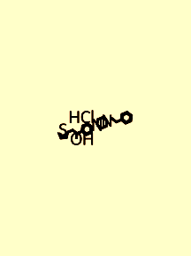 Cl.OC(Cc1cccs1)c1ccc(N2CCN(CCc3ccccc3)CC2)cc1